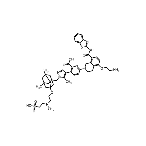 Cc1c(-c2ccc(N3CCc4c(OCCN)ccc(C(=O)Nc5nc6ccccc6s5)c4C3)nc2C(=O)O)cnn1CC12CC3(C)CC(C)(C1)CC(OCCN(C)CCS(=O)(=O)O)(C3)C2